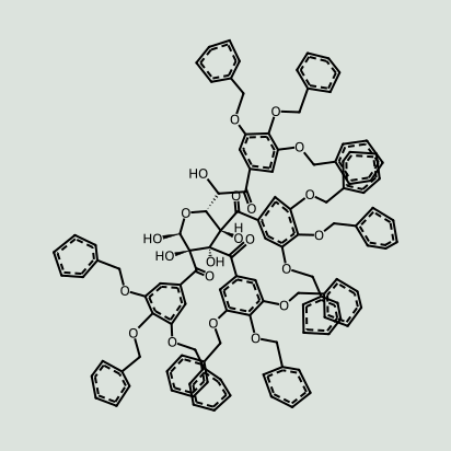 O=C(c1cc(OCc2ccccc2)c(OCc2ccccc2)c(OCc2ccccc2)c1)C(O)[C@H]1O[C@H](O)[C@@](O)(C(=O)c2cc(OCc3ccccc3)c(OCc3ccccc3)c(OCc3ccccc3)c2)[C@](O)(C(=O)c2cc(OCc3ccccc3)c(OCc3ccccc3)c(OCc3ccccc3)c2)[C@@]1(O)C(=O)c1cc(OCc2ccccc2)c(OCc2ccccc2)c(OCc2ccccc2)c1